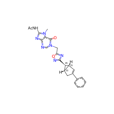 CC(=O)Nc1nc2ncn(Cc3nc([C@H]4[C@@H]5C=C(c6ccccc6)C[C@@H]54)no3)c(=O)c2n1C